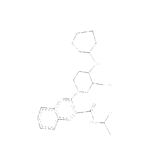 COC1CN(c2nc3ccccc3nc2C(=O)NC(C)N)CCC1NC1CCCCC1